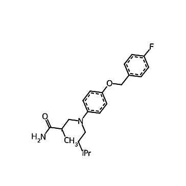 C[C](CN(CCC(C)C)c1ccc(OCc2ccc(F)cc2)cc1)C(N)=O